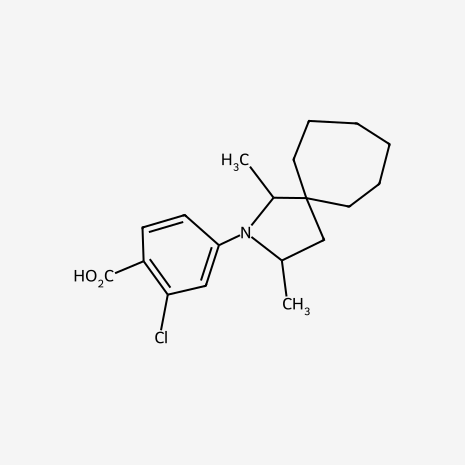 CC1CC2(CCCCCC2)C(C)N1c1ccc(C(=O)O)c(Cl)c1